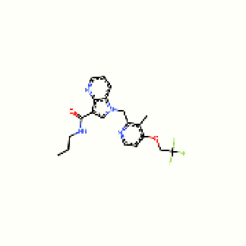 CCCNC(=O)c1cn(Cc2nccc(OCC(F)(F)F)c2C)c2cccnc12